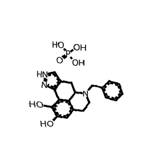 O=P(O)(O)O.Oc1cc2c3c(c1O)-c1n[nH]cc1CC3N(Cc1ccccc1)CC2